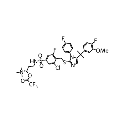 COc1cc(C(C)(C)c2cnc(SCc3c(F)cc(S(=O)(=O)NCCC(OC(=O)C(F)(F)F)[N+](C)(C)C)cc3Cl)n2-c2ccc(F)cc2)ccc1F